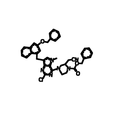 Cn1cc(Cc2cc(OCc3ccccc3)cc3ccccc23)c2nc(Cl)nc(N3CCN(C(=O)OCc4ccccc4)C(CC#N)C3)c21